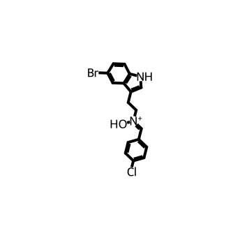 O/[N+](=C\c1ccc(Cl)cc1)CCc1c[nH]c2ccc(Br)cc12